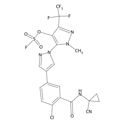 Cn1nc(C(F)(F)C(F)(F)F)c(OS(=O)(=O)F)c1-n1cc(-c2ccc(Cl)c(C(=O)NC3(C#N)CC3)c2)cn1